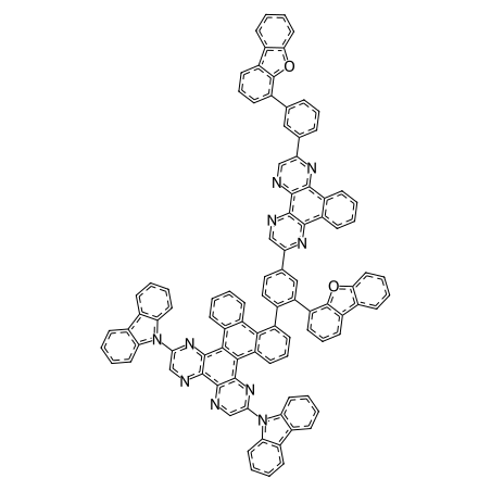 c1cc(-c2cnc3c(n2)c2ccccc2c2nc(-c4ccc(-c5cccc6c5c5ccccc5c5c7nc(-n8c9ccccc9c9ccccc98)cnc7c7ncc(-n8c9ccccc9c9ccccc98)nc7c65)c(-c5cccc6c5oc5ccccc56)c4)cnc23)cc(-c2cccc3c2oc2ccccc23)c1